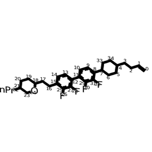 C=CCCC1CCC(c2ccc(-c3ccc(CCC4CCC(CCC)CO4)c(F)c3F)c(F)c2F)CC1